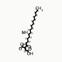 CCCCCCCCCCCCCCCCCC(=O)/C(=C\C(=O)O)C(=O)O.N